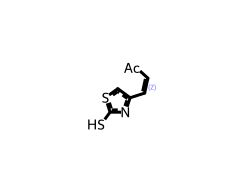 CC(=O)/C=C\c1csc(S)n1